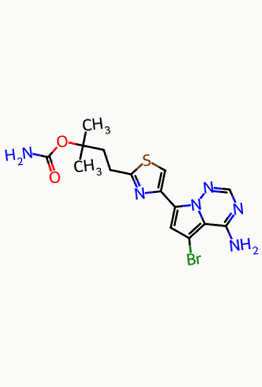 CC(C)(CCc1nc(-c2cc(Br)c3c(N)ncnn23)cs1)OC(N)=O